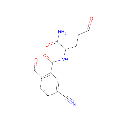 N#Cc1ccc(C=O)c(C(=O)NC(CCC=O)C(N)=O)c1